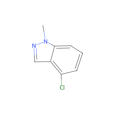 Cn1ncc2c(Cl)cccc21